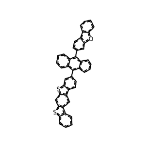 c1ccc2c(c1)oc1cc(-c3c4ccccc4c(-c4ccc5c(c4)sc4cc6sc7ccccc7c6cc45)c4ccccc34)ccc12